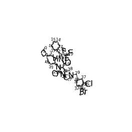 COc1ccc(-n2c(C(=O)NC(c3ccccc3)C(F)(F)F)c3n(c2=O)CCN(Cc2ccc(Br)c(Cl)c2)C3)cc1